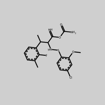 COc1cc(Cl)ccc1SNC(C(=N)OC(N)=O)C(C)c1cccc(C)c1F